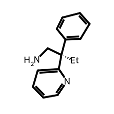 CC[C@](CN)(c1ccccc1)c1ccccn1